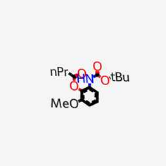 CCCC(=O)Oc1c(NC(=O)OC(C)(C)C)cccc1OC